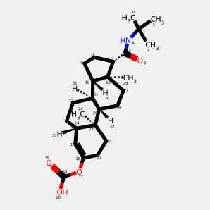 CC(C)(C)NC(=O)[C@H]1CC[C@H]2[C@@H]3CC[C@H]4C=C(OC(=O)O)CC[C@]4(C)[C@H]3CC[C@]12C